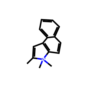 CC1=Cc2c(ccc3ccccc23)[N+]1(C)C